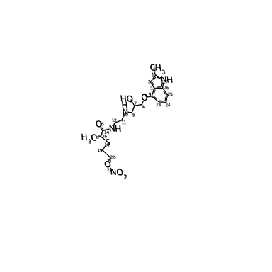 Cc1cc2c(OCC(O)CNCCNC(=O)C(C)SCCO[N+](=O)[O-])cccc2[nH]1